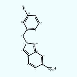 O=C(O)c1ccc2cn(Cc3cccc(F)c3)nc2c1